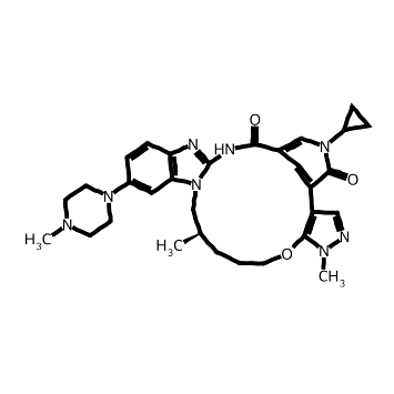 C[C@@H]1CCCOc2c(cnn2C)-c2cc(cn(C3CC3)c2=O)C(=O)Nc2nc3ccc(N4CCN(C)CC4)cc3n2C1